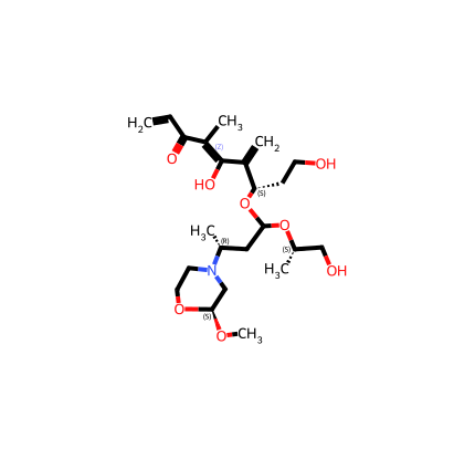 C=CC(=O)/C(C)=C(\O)C(=C)[C@H](CCO)OC(C[C@@H](C)N1CCO[C@H](OC)C1)O[C@@H](C)CO